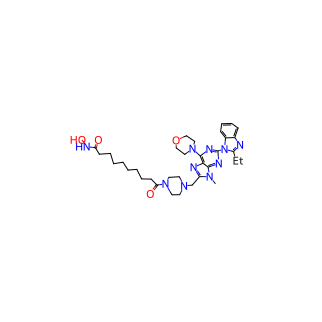 CCc1nc2ccccc2n1-c1nc(N2CCOCC2)c2nc(CN3CCN(C(=O)CCCCCCCCC(=O)NO)CC3)n(C)c2n1